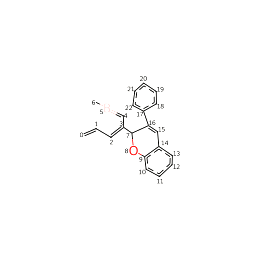 C=C/C=C(\C=B\C)C1Oc2ccccc2C=C1c1ccccc1